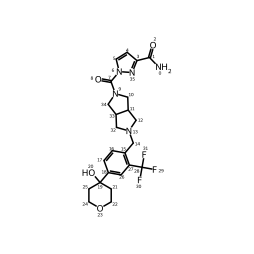 NC(=O)c1ccn(C(=O)N2CC3CN(Cc4ccc(C5(O)CCOCC5)cc4C(F)(F)F)CC3C2)n1